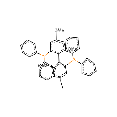 COc1cc(OC)c(-c2c(OC)cc(C)cc2P(c2ccccc2)c2ccccc2)c(P(c2ccccc2)c2ccccc2)c1